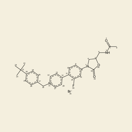 CC(=O)NCC1CN(c2ccc(-c3cc[n+](Cc4ccc(C(C)(C)C)cc4)cc3)c(F)c2)C(=O)O1.[Br-]